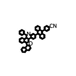 N#Cc1ccc(-c2c3ccccc3c(-c3ccc4c(c3)nc(-c3ccccc3)c3c5ccccc5c5c(oc6ccc7ccccc7c65)c43)c3ccccc23)cc1